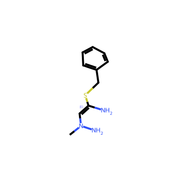 CN(N)/C=C(\N)SCc1ccccc1